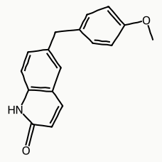 COc1ccc(Cc2ccc3[nH]c(=O)ccc3c2)cc1